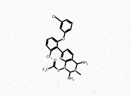 CN1C(N)c2ccc(-c3c(Oc4cccc(Cl)c4)cccc3C(F)(F)F)nc2N(OC(=O)C(F)(F)F)C1N